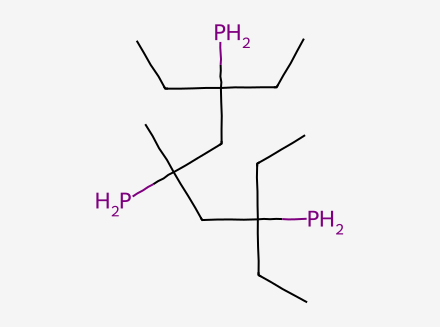 CCC(P)(CC)CC(C)(P)CC(P)(CC)CC